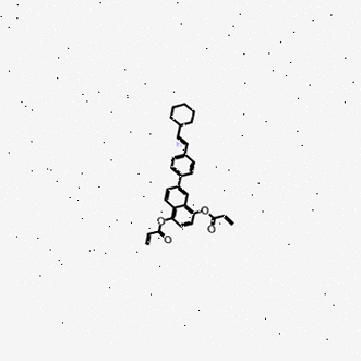 C=CC(=O)Oc1ccc(OC(=O)C=C)c2cc(-c3ccc(/C=C/C4CCCCC4)cc3)ccc12